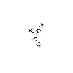 Cc1cc(NC(=O)c2ncc(S(=O)(=O)C3CC3)cc2N2CCC3(CC2)CC3)nc(N2CCC(F)(F)CC2)n1